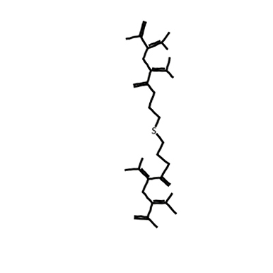 C=C(C)C(CC(C(=C)CCCSCCCC(=C)C(CC(C(=C)C)=C(C)C)=C(C)C)=C(C)C)=C(C)C